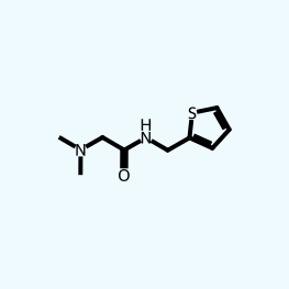 CN(C)CC(=O)NCc1cccs1